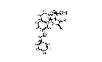 C=CCC1(C(CC)C(=O)O)C(=O)CCc2ccc(OCc3ccccc3)cc21